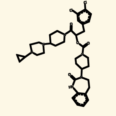 O=C(OC(Cc1ccc(Cl)c(Cl)c1)C(=O)N1CCC(N2CCN(C3CC3)CC2)CC1)N1CCC(N2CCc3ccccc3NC2=O)CC1